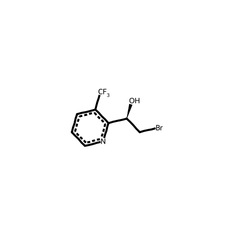 O[C@@H](CBr)c1ncccc1C(F)(F)F